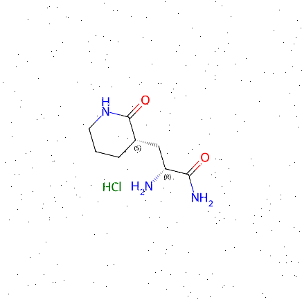 Cl.NC(=O)[C@H](N)C[C@@H]1CCCNC1=O